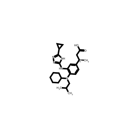 CC(C)CN(c1ccc([C@H](C)CC(=O)O)cc1Nc1nnc(C2CC2)[nH]1)C1CCCCC1